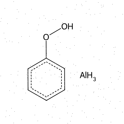 OOc1ccccc1.[AlH3]